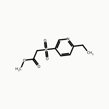 CCc1ccc(S(=O)(=O)CC(=O)OC)cn1